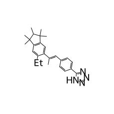 CCc1cc2c(cc1/C(C)=C/c1ccc(-c3nnn[nH]3)cc1)C(C)(C)C(C)C2(C)C